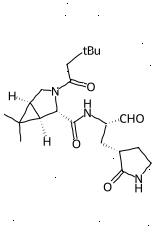 CC(C)(C)CC(=O)N1C[C@H]2[C@@H]([C@H]1C(=O)N[C@H](C=O)C[C@@H]1CCNC1=O)C2(C)C